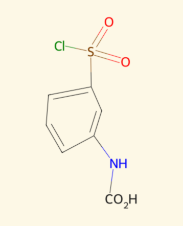 O=C(O)Nc1cccc(S(=O)(=O)Cl)c1